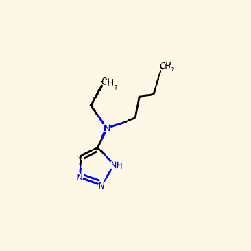 CCCCN(CC)c1[c]nn[nH]1